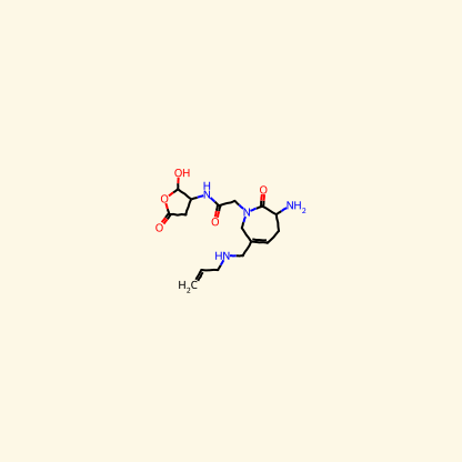 C=CCNCC1=CCC(N)C(=O)N(CC(=O)NC2CC(=O)OC2O)C1